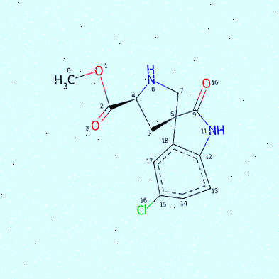 COC(=O)[C@@H]1C[C@@]2(CN1)C(=O)Nc1ccc(Cl)cc12